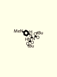 CNc1ccc(NC(=NC(=O)OC(C)(C)C)NC(=O)OC(C)(C)C)cc1